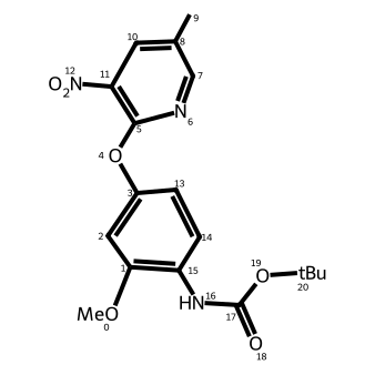 COc1cc(Oc2ncc(C)cc2[N+](=O)[O-])ccc1NC(=O)OC(C)(C)C